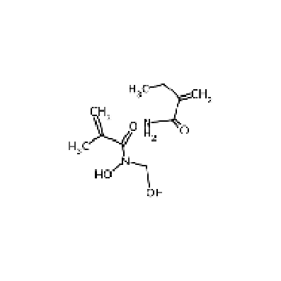 C=C(C)C(=O)N(O)CO.C=C(CC)C(N)=O